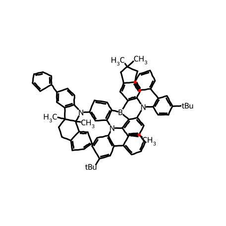 Cc1cc2c3c(c1)N(c1ccc(C(C)(C)C)cc1-c1ccccc1)c1cc4c(cc1B3c1ccc(N3c5ccc(-c6ccccc6)cc5C5(C)CCc6ccccc6C35C)cc1N2c1ccc(C(C)(C)C)cc1-c1ccccc1)CC(C)(C)C4